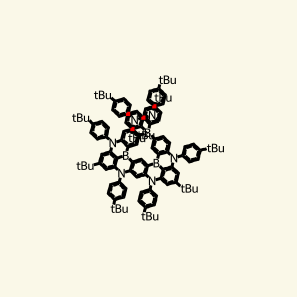 CC(C)(C)c1ccc(N2c3ccc(C(C)(C)C)cc3B3c4cc5c(cc4N(c4ccc(C(C)(C)C)cc4)c4cc(C(C)(C)C)cc2c43)N(c2ccc(C(C)(C)C)cc2)c2cc(C(C)(C)C)cc3c2B5c2cc4c(cc2N3c2ccc(C(C)(C)C)cc2)N(c2ccc(C(C)(C)C)cc2)c2cc(C(C)(C)C)cc3c2B4c2c(cccc2C(C)(C)C)N3c2ccc(C(C)(C)C)cc2)cc1